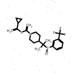 C=C(SC(=C)N1CCC(C(C)(C)[S+]([O-])c2cccc(C(F)(F)F)c2)CC1)C1CC1